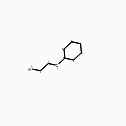 OC[CH]OC1CCCCC1